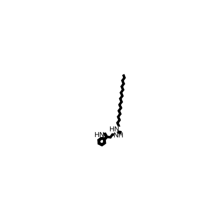 C=C(NCCCCCCCCCCCCCCCCCC)NCCc1c[nH]c2ccccc12